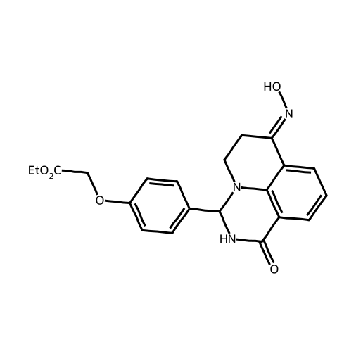 CCOC(=O)COc1ccc(C2NC(=O)c3cccc4c3N2CCC4=NO)cc1